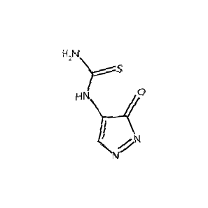 NC(=S)NC1=CN=NC1=O